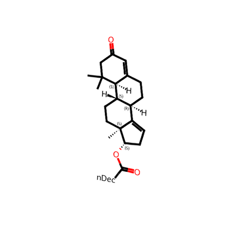 CCCCCCCCCCC(=O)O[C@H]1CC=C2[C@@H]3CCC4=CC(=O)CC(C)(C)[C@@H]4[C@H]3CC[C@@]21C